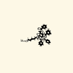 COCCCCCO[C@H]1OC(COC(=O)c2ccccc2)[C@@H](OC(=O)c2ccccc2)[C@H](OC(=O)c2ccccc2)C1OC(=O)c1ccccc1